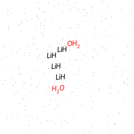 O.O.[LiH].[LiH].[LiH].[LiH]